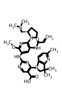 C=CC(=O)Nc1cc(Nc2ncc(C(=O)O)c(N3CC(C)(C)c4nc(C)ccc43)n2)c(OC)nc1N1CCC[C@@H]1CN(C)C